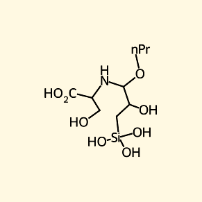 CCCOC(NC(CO)C(=O)O)C(O)C[Si](O)(O)O